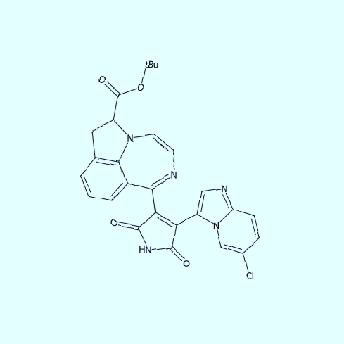 CC(C)(C)OC(=O)C1Cc2cccc3c2N1C=CN=C3C1=C(c2cnc3ccc(Cl)cn23)C(=O)NC1=O